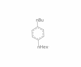 CCCCC[CH]c1ccc(CCCC)cc1